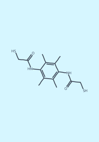 Cc1c(C)c(NC(=O)CS)c(C)c(C)c1NC(=O)CS